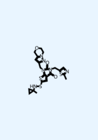 Cc1ncc(Cn2c(=O)c3cc(SNC4(C)CC4)sc3n(Cc3cc4n(n3)CCOC4)c2=O)s1